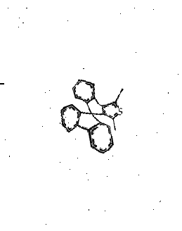 Cc1sc(C)c2c1-c1ccccc1C21c2ccccc2-c2ccccc21